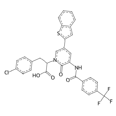 O=C(Nc1cc(-c2cc3ccccc3s2)cn(C(Cc2ccc(Cl)cc2)C(=O)O)c1=O)c1ccc(C(F)(F)F)cc1